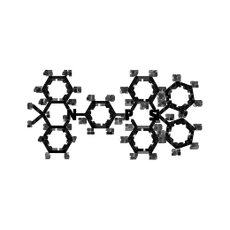 CC1(C)c2ccccc2N(c2ccc(P3c4ccccc4[Si](c4ccccc4)(c4ccccc4)c4ccccc43)cc2)c2ccccc21